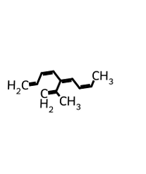 C=C\C=C/C(=C/C=C\C)C(=C)C